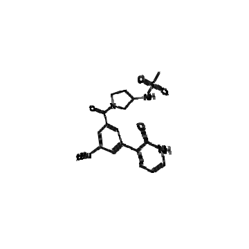 CC(C)(C)c1cc(C(=O)N2CCC(NS(C)(=O)=O)C2)cc(-c2ccc[nH]c2=O)c1